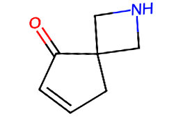 O=C1C=CCC12CNC2